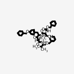 CC(C)[C@H](COCc1cccnc1)NC(=O)C(F)(F)C(=O)C(Cc1ccc(OCc2ccccc2)cc1)NC(=O)[C@@H](NC(=O)OCc1ccccc1)C(C)C